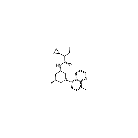 CCC(C(=O)N[C@@H]1C[C@H](C)CN(c2ccc(C)c3ncccc23)C1)C1CC1